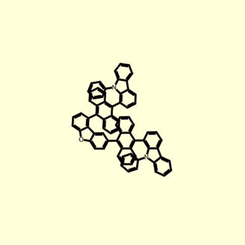 c1ccc(-n2c3ccccc3c3cccc(-c4c5ccccc5c(-c5ccc6oc7cccc(-c8c9ccccc9c(-c9cccc%10c%11ccccc%11n(-c%11ccccc%11)c9%10)c9ccccc89)c7c6c5)c5ccccc45)c32)cc1